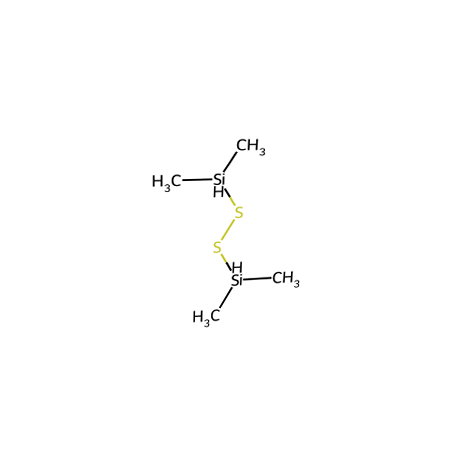 C[SiH](C)SS[SiH](C)C